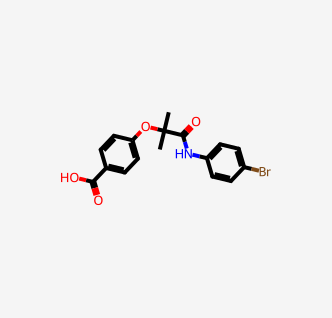 CC(C)(Oc1ccc(C(=O)O)cc1)C(=O)Nc1ccc(Br)cc1